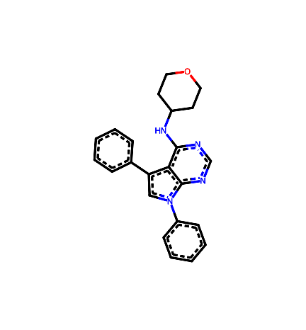 c1ccc(-c2cn(-c3ccccc3)c3ncnc(NC4CCOCC4)c23)cc1